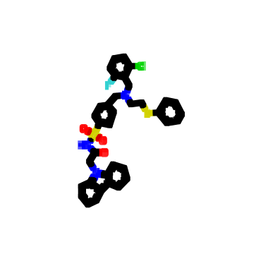 O=C(Cn1c2ccccc2c2ccccc21)NS(=O)(=O)c1ccc(CN(CCSc2ccccc2)Cc2c(F)cccc2Cl)cc1